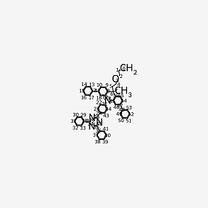 C=CCOCCC1(C)c2ccc(-c3ccccc3)cc2N(c2ccc(-c3nc(-c4ccccc4)nc(-c4ccccc4)n3)cc2)c2cc(-c3ccccc3)ccc21